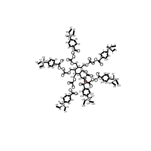 C=C[Si](C)(C=C)c1ccc(C(=O)OOC(=O)OCCC(COC(=O)OOC(=O)c2ccc([Si](C)(C=C)C=C)cc2)C(COC(=O)OOC(=O)c2ccc([Si](C)(C=C)C=C)cc2)C(COC(=O)OOC(=O)c2ccc([Si](C)(C=C)C=C)cc2)C(CCOC(=O)OOC(=O)c2ccc([Si](C)(C=C)C=C)cc2)COC(=O)OOC(=O)c2ccc([Si](C)(C=C)C=C)cc2)cc1